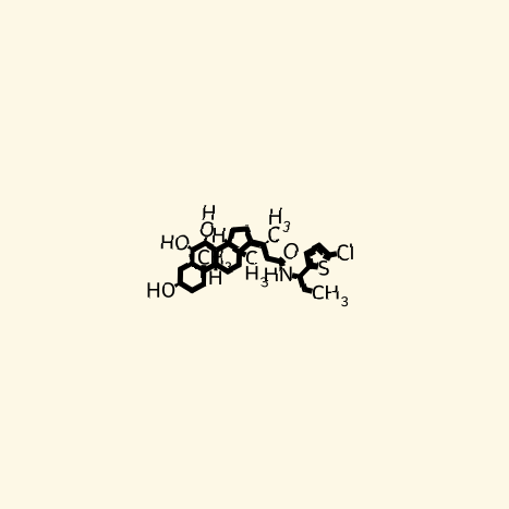 CCC(NC(=O)C[C@@H](C)C1CC[C@H]2C3[C@H](O)[C@H](O)C4C[C@H](O)CCC4(C)[C@H]3CCC12C)c1ccc(Cl)s1